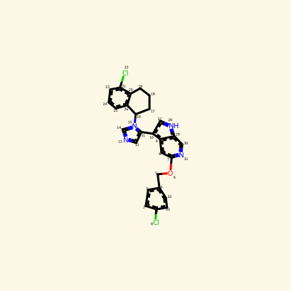 Clc1ccc(COc2cc3c(-c4cncn4C4CCCc5c(Cl)cccc54)c[nH]c3cn2)cc1